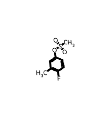 Cc1cc(OS(C)(=O)=O)ccc1F